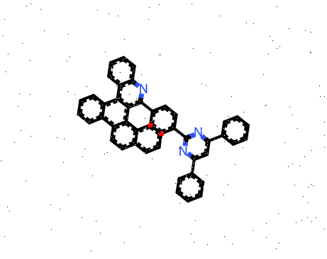 c1ccc(-c2cc(-c3ccccc3)nc(-c3ccc(-c4nc5ccccc5c5c6ccccc6c6ccc7ccccc7c6c45)cc3)n2)cc1